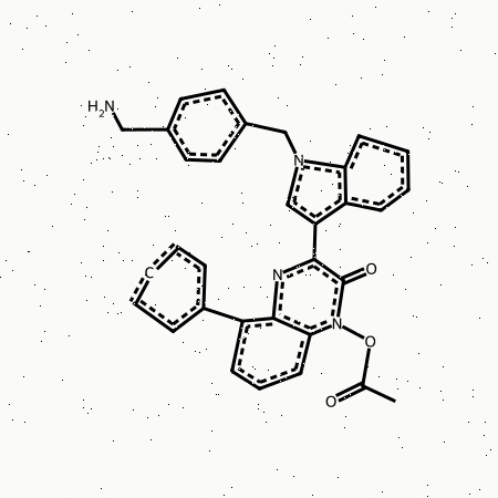 CC(=O)On1c(=O)c(-c2cn(Cc3ccc(CN)cc3)c3ccccc23)nc2c(-c3ccccc3)cccc21